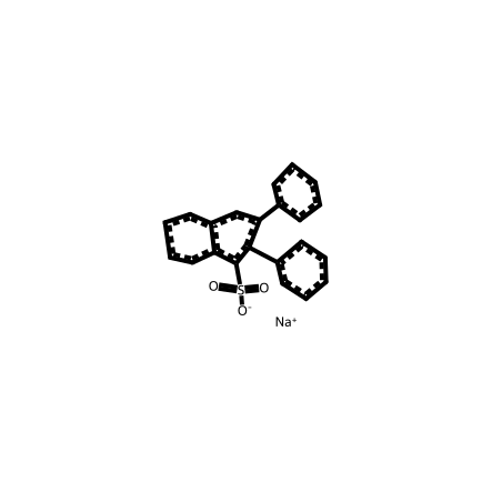 O=S(=O)([O-])c1c(-c2ccccc2)c(-c2ccccc2)cc2ccccc12.[Na+]